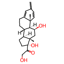 C=C1C=C[C@@]2(C)C(=C1)CC[C@@H]1[C@@H]2[C@@H](O)C[C@@]2(C)[C@H]1CC[C@]2(O)C(=O)CO